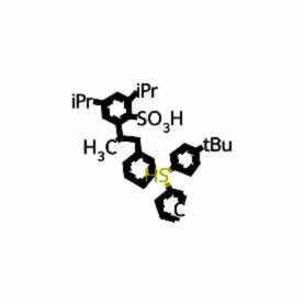 CC(C)c1cc(C(C)C)c(S(=O)(=O)O)c(C(C)Cc2cccc([SH](c3ccccc3)c3ccc(C(C)(C)C)cc3)c2)c1